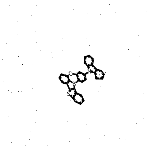 c1cc2c3c(c1)-c1sc4ccccc4c1B3c1ccc(-n3c4ccccc4c4ccccc43)cc1O2